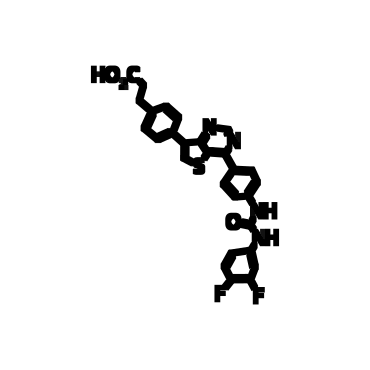 O=C(O)CCc1ccc(-c2csc3c(-c4ccc(NC(=O)Nc5ccc(F)c(F)c5)cc4)ncnc23)cc1